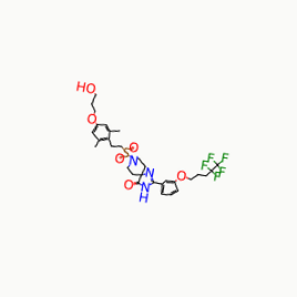 Cc1cc(OCCCO)cc(C)c1CCS(=O)(=O)N1CCC2(CC1)N=C(c1cccc(OCCCC(F)(F)C(F)(F)F)c1)NC2=O